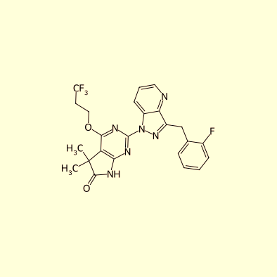 CC1(C)C(=O)Nc2nc(-n3nc(Cc4ccccc4F)c4ncccc43)nc(OCCC(F)(F)F)c21